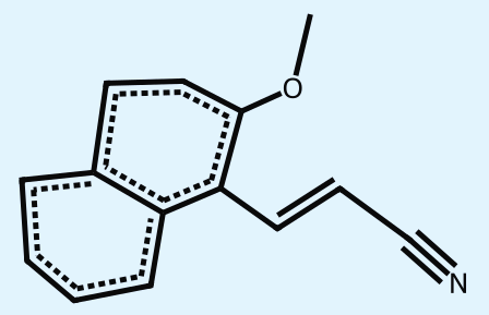 COc1ccc2ccccc2c1/C=C/C#N